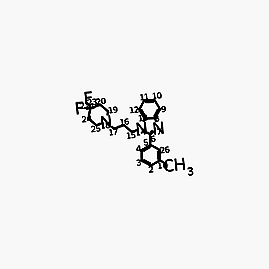 Cc1cccc(-c2nc3ccccc3n2CCCN2CCC(F)(F)CC2)c1